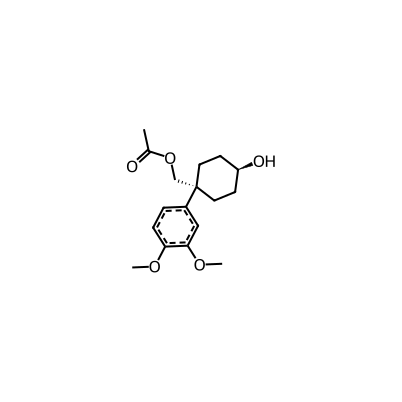 COc1ccc([C@]2(COC(C)=O)CC[C@H](O)CC2)cc1OC